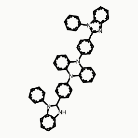 c1ccc(N2c3ccccc3NC2c2ccc(N3c4ccccc4N(c4ccc(-c5nc6ccccc6n5-c5ccccc5)cc4)c4ccccc43)cc2)cc1